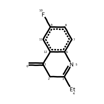 C=C1CC(CC)=Nc2ccc(F)cc21